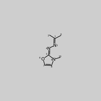 CC(C)=NN=c1occn1C